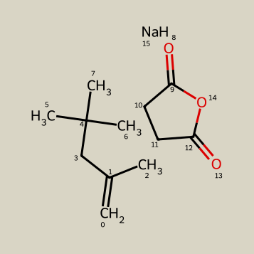 C=C(C)CC(C)(C)C.O=C1CCC(=O)O1.[NaH]